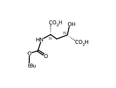 CC(C)(C)OC(=O)N[C@@H](C[C@H](O)C(=O)O)C(=O)O